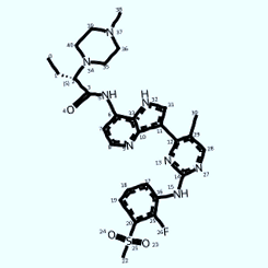 CC[C@@H](C(=O)Nc1ccnc2c(-c3nc(Nc4cccc(S(C)(=O)=O)c4F)ncc3C)c[nH]c12)N1CCN(C)CC1